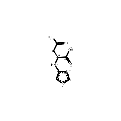 CC(=O)C[C@H](Nc1cscn1)C(=O)O